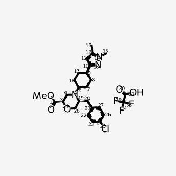 COC(=O)[C@H]1CN(C2CCC(c3cc(C)n(C)n3)CC2)[C@@H](Cc2ccc(Cl)cc2)CO1.O=C(O)C(F)(F)F